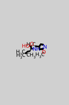 COc1cc([C@H](C)N[C@@H](CCC(C)(C)C)C(=O)O)ccn1